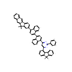 CC1(C)c2cc(-c3ccc(-c4ccc(-c5cc(-c6cccc7c6-c6ccccc6C7(C)C)nc(-c6ccccc6)n5)c5ccccc45)c4ccccc34)ccc2-c2cc3ccccc3cc21